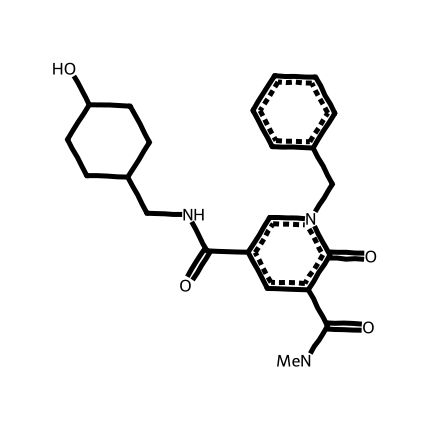 CNC(=O)c1cc(C(=O)NCC2CCC(O)CC2)cn(Cc2ccccc2)c1=O